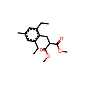 CCc1cc(C)cc(CC)c1CC(C(=O)OC)C(=O)OC